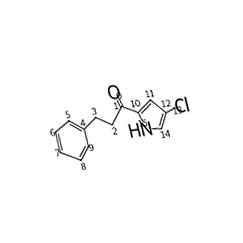 O=C(CCc1ccccc1)c1cc(Cl)c[nH]1